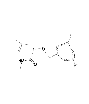 C=C(C)CC(OCc1cc(F)cc(F)c1)C(=O)NC